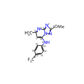 COc1nc2nc(C)cc(Nc3ccc(C(F)(F)F)cc3)n2n1